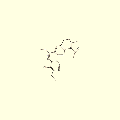 CC/C(=N/c1ncnc(CC)c1Cl)c1ccc2c(c1)CCC(C)N2C(C)=O